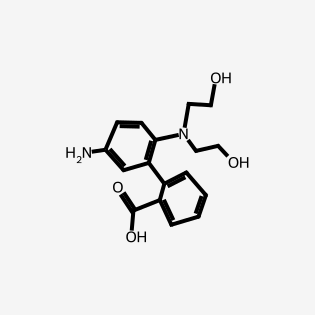 Nc1ccc(N(CCO)CCO)c(-c2ccccc2C(=O)O)c1